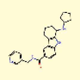 O=C(NCc1cccnc1)c1ccc2[nH]c3c(c2c1)CCCC3NC1CCCC1